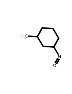 CC1CCCC(N=O)C1